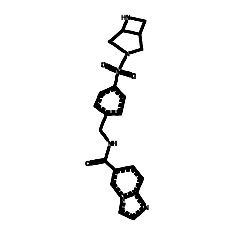 O=C(NCc1ccc(S(=O)(=O)N2CC3CNC3C2)cc1)c1ccc2nccn2c1